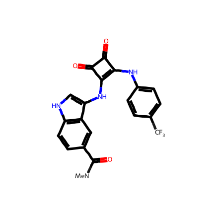 CNC(=O)c1ccc2[nH]cc(Nc3c(Nc4ccc(C(F)(F)F)cc4)c(=O)c3=O)c2c1